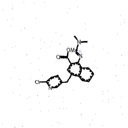 COC(=O)c1cc(Cc2ccc(Cl)nc2)c2ccccc2c1/N=C/N(C)C